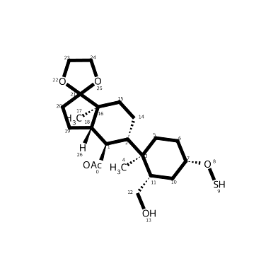 CC(=O)O[C@@H]1[C@@H]([C@@]2(C)CC[C@H](OS)C[C@@H]2CO)CC[C@@]2(C)[C@H]1CCC21OCCO1